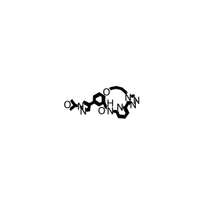 O=C1Nc2cccc(n2)-c2nncn2CCCCOc2ccc(-c3cnn(C4COC4)c3)cc21